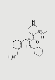 CP[C@@H]1CNCCN1C(=O)[C@@H](Cc1cccc(CN)c1)NC1CCCCC1